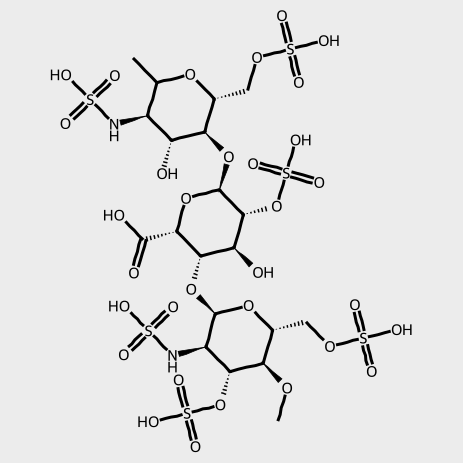 CO[C@H]1[C@H](OS(=O)(=O)O)[C@@H](NS(=O)(=O)O)[C@@H](O[C@H]2[C@H](O)[C@@H](OS(=O)(=O)O)[C@H](O[C@H]3[C@H](O)[C@@H](NS(=O)(=O)O)C(C)O[C@@H]3COS(=O)(=O)O)O[C@H]2C(=O)O)O[C@@H]1COS(=O)(=O)O